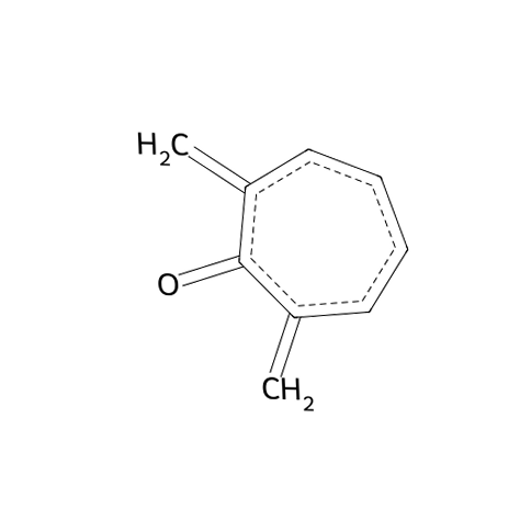 C=c1ccccc(=C)c1=O